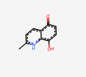 Cc1ccc2c(=O)ccc(O)c-2[nH]1